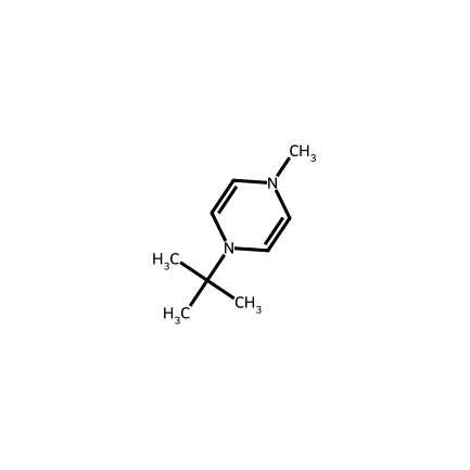 CN1C=CN(C(C)(C)C)C=C1